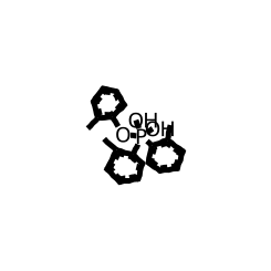 Cc1ccccc1OP(O)(O)(c1ccccc1C)c1ccccc1C